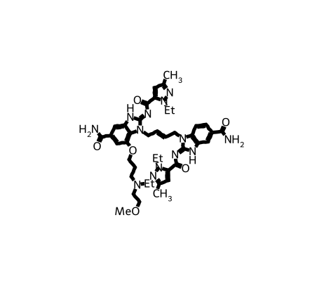 CCN(CCCOc1cc(C(N)=O)cc2[nH]/c(=N\C(=O)c3cc(C)nn3CC)n(C/C=C/Cn3/c(=N/C(=O)c4cc(C)nn4CC)[nH]c4cc(C(N)=O)ccc43)c12)CCOC